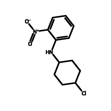 O=[N+]([O-])c1ccccc1NC1CCC(Cl)CC1